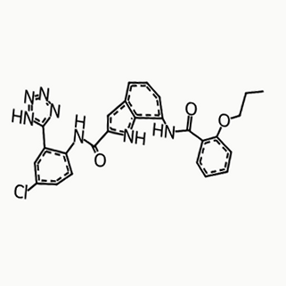 CCCOc1ccccc1C(=O)Nc1cccc2cc(C(=O)Nc3ccc(Cl)cc3-c3nnn[nH]3)[nH]c12